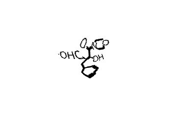 O=[C][C@H](Cc1ccccc1)[C@H](O)C(=O)N1CCOCC1